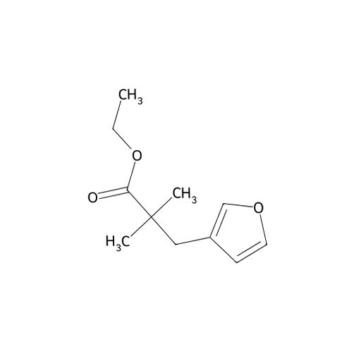 CCOC(=O)C(C)(C)Cc1ccoc1